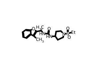 CCS(=O)(=O)N1CCC(NC(=O)N[C@@H](C)c2oc3ccccc3c2C)CC1